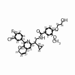 COc1cc(C(=O)NCC(c2cc3c(c(-c4ccc(F)c(Cl)c4)n2)OCC=C3)C2CC2)ccc1OCCO